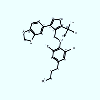 OCCCc1cc(F)c(OCc2c(-c3ccc4c(c3)OCO4)csc2C(F)(F)F)c(F)c1